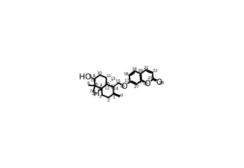 C=C1CC[C@@H]2C(C)(C)[C@@H](O)CC[C@@]2(C)[C@H]1COc1ccc2ccc(=O)oc2c1